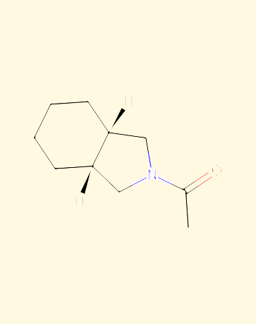 CC(=O)N1C[C@H]2CCCC[C@H]2C1